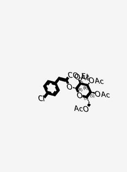 CCOC(=O)C(=Cc1ccc(Cl)cc1)O[C@H]1O[C@@H](COC(C)=O)[C@H](OC(C)=O)[C@@H](OC(C)=O)[C@@H]1OC(C)=O